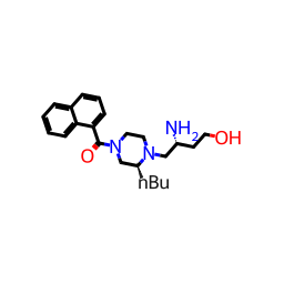 CCCC[C@H]1CN(C(=O)c2cccc3ccccc23)CCN1C[C@H](N)CCO